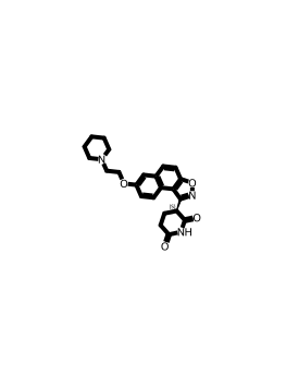 O=C1CC[C@@H](c2noc3ccc4cc(OCCN5CCCCC5)ccc4c23)C(=O)N1